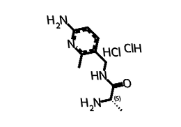 Cc1nc(N)ccc1CNC(=O)[C@H](C)N.Cl.Cl